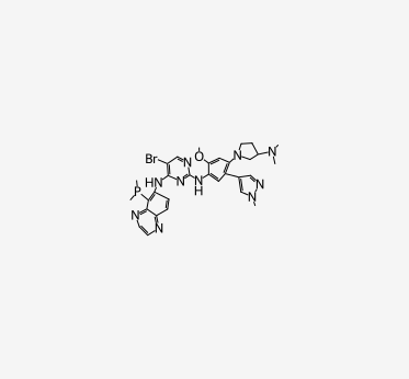 COc1cc(N2CCC(N(C)C)C2)c(-c2cnn(C)c2)cc1Nc1ncc(Br)c(Nc2ccc3nccnc3c2P(C)C)n1